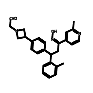 Cc1cc(C(CC(c2ccc(C3CN(CC=O)C3)cc2)c2ccccc2C)=NO)ccn1